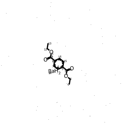 CCOC(=O)c1ccc(C(=O)OCC)cc1.[BaH2]